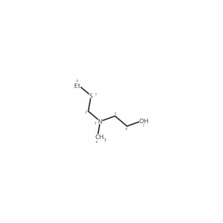 CCSCN(C)CCO